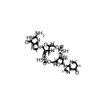 Nc1nc2c(ncn2[C@@H]2O[C@@H]3COP(=O)(S)O[C@H]4[C@H](F)[C@H](n5cnc6c5N=CCC6=O)O[C@@H]4COP(=O)(S)O[C@@H]2[C@H]3F)c(=O)[nH]1